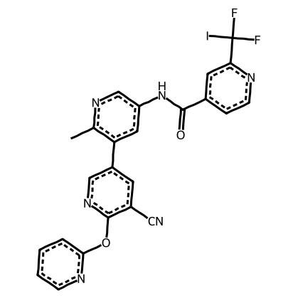 Cc1ncc(NC(=O)c2ccnc(C(F)(F)I)c2)cc1-c1cnc(Oc2ccccn2)c(C#N)c1